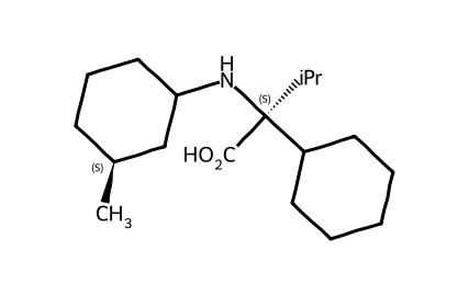 CC(C)[C@@](NC1CCC[C@H](C)C1)(C(=O)O)C1CCCCC1